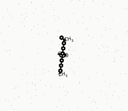 Cc1ccc(-c2ccc(-c3ccc(C(CC4CO4)(CC4CO4)c4ccc(-c5ccc(-c6ccc(N(C)c7ccccc7)cc6)cc5)cc4)cc3)cc2)cc1